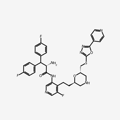 N[C@H](C(=O)Nc1cncc(F)c1CC[C@@H]1CNC[C@@H](CSc2nnc(-c3ccncc3)o2)O1)C(c1ccc(F)cc1)c1ccc(F)cc1